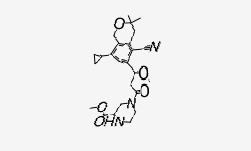 COC(=O)C1CN(C(=O)CC(OC)c2cc(C3CC3)c3c(c2C#N)CC(C)(C)OC3)CCN1